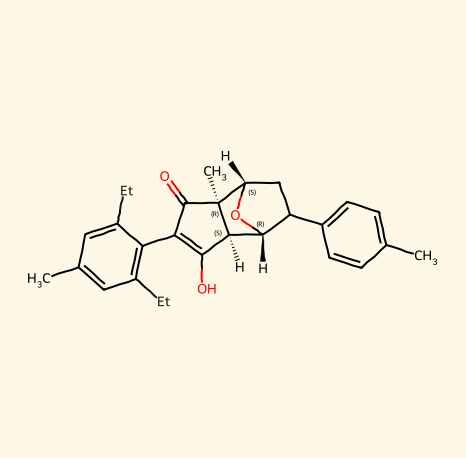 CCc1cc(C)cc(CC)c1C1=C(O)[C@@H]2[C@@H]3O[C@@H](CC3c3ccc(C)cc3)[C@]2(C)C1=O